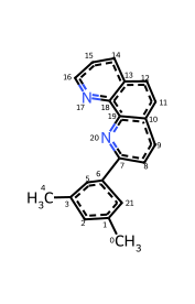 Cc1cc(C)cc(-c2ccc3ccc4cccnc4c3n2)c1